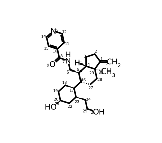 C=C1CC[C@H]2[C@H](CNC(=O)c3ccncc3)[C@@H]([C@@H]3CC[C@H](O)C[C@@H]3CCO)CC[C@]12C